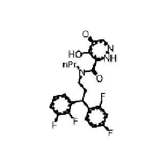 CCCN(CCC(c1ccc(F)cc1F)c1cccc(F)c1F)C(=O)c1[nH]ncc(=O)c1O